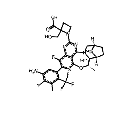 Cc1c(F)c(N)cc(-c2nc3c4c(nc(N5CCC5(CO)C(=O)O)nc4c2F)N2C[C@H]4CC[C@H](N4)[C@H]2[C@H](C)O3)c1C(F)(F)F